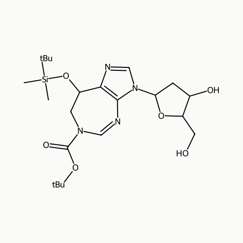 CC(C)(C)OC(=O)N1C=Nc2c(ncn2C2CC(O)C(CO)O2)C(O[Si](C)(C)C(C)(C)C)C1